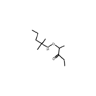 CCCC(C)(C)NOC(C)C(=O)CC